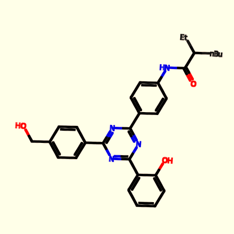 CCCCC(CC)C(=O)Nc1ccc(-c2nc(-c3ccc(CO)cc3)nc(-c3ccccc3O)n2)cc1